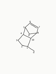 CC1[CH]CC2C3C=CC(C3)C12